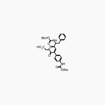 COC(=O)Nc1ccc(-c2cc(C(Cc3ccccc3)NC(=O)OC(C)(C)C)nn(CC(=O)O)c2=O)cc1